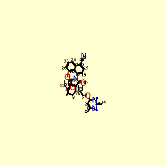 Cc1cc(OCC[C@@]23CC[C@@](C)(O2)[C@H]2C(=O)N(c4ccc(C#N)c5ccccc45)C(=O)[C@H]23)nc(C)n1